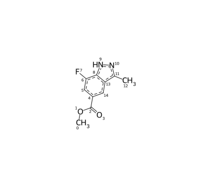 COC(=O)c1cc(F)c2[nH]nc(C)c2c1